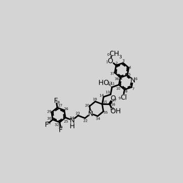 COc1ccc2ncc(Cl)c([C@@H](O)CCC3(C(=O)O)CCN(CCNc4cc(F)cc(F)c4F)CC3)c2c1